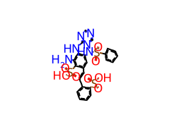 Nc1c(Nc2ncncn2)c(NS(=O)(=O)c2ccccc2)cc(C=Cc2ccccc2S(=O)(=O)O)c1S(=O)(=O)O